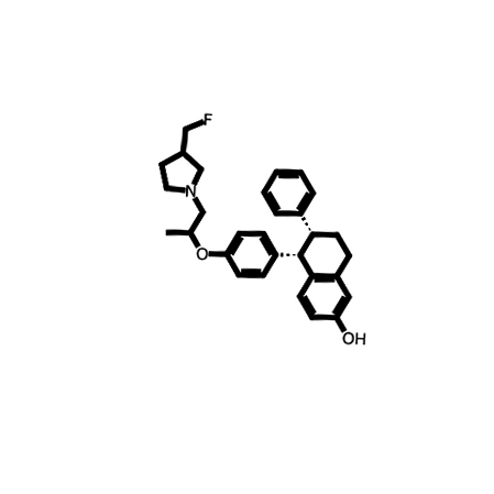 CC(CN1CCC(CF)C1)Oc1ccc([C@H]2c3ccc(O)cc3CC[C@H]2c2ccccc2)cc1